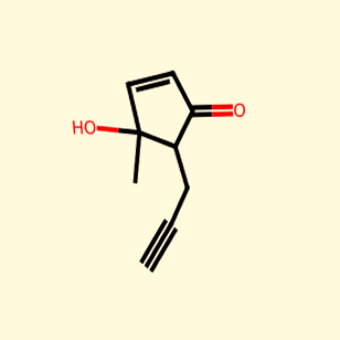 C#CCC1C(=O)C=CC1(C)O